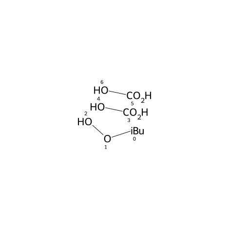 CCC(C)OO.O=C(O)O.O=C(O)O